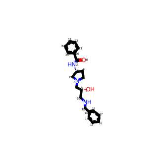 O=C(N[C@@H]1CCN(C[C@H](O)CNCc2ccccc2)C1)c1ccccc1